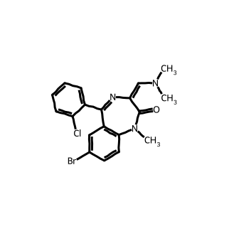 CN(C)C=C1N=C(c2ccccc2Cl)c2cc(Br)ccc2N(C)C1=O